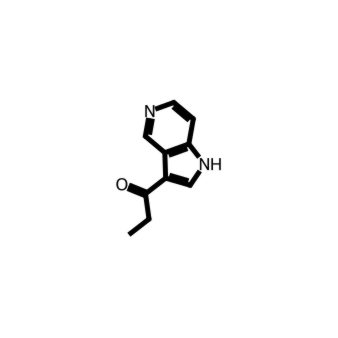 CCC(=O)c1c[nH]c2ccncc12